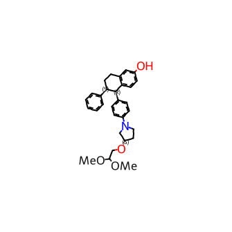 COC(CO[C@H]1CCN(c2ccc([C@@H]3c4ccc(O)cc4CC[C@@H]3c3ccccc3)cc2)C1)OC